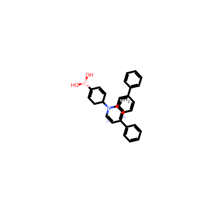 C=C/C=C(\C=C/N(c1cccc(-c2ccccc2)c1)C1C=CC(B(O)O)=CC1)c1ccccc1